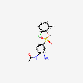 CC(=O)Nc1ccc(S(=O)(=O)Oc2c(C)cccc2Cl)cc1N